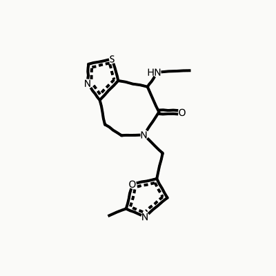 CNC1C(=O)N(Cc2cnc(C)o2)CCc2ncsc21